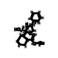 CC(C)(C)OC(=O)C1CCCCC1C1(C(=O)O)N[C@@H](c2ccccc2)CO1